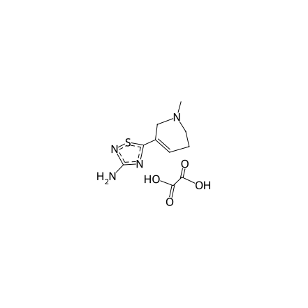 CN1CCC=C(c2nc(N)ns2)C1.O=C(O)C(=O)O